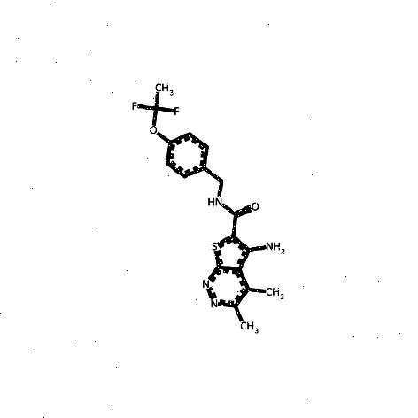 Cc1nnc2sc(C(=O)NCc3ccc(OC(C)(F)F)cc3)c(N)c2c1C